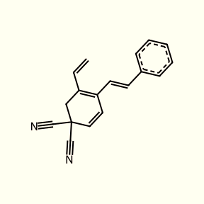 C=CC1=C(C=Cc2ccccc2)C=CC(C#N)(C#N)C1